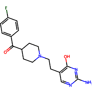 Nc1ncc(CCN2CCC(C(=O)c3ccc(F)cc3)CC2)c(O)n1